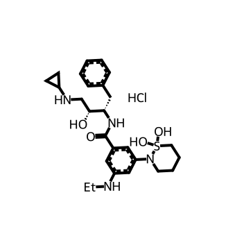 CCNc1cc(C(=O)N[C@@H](Cc2ccccc2)[C@H](O)CNC2CC2)cc(N2CCCCS2(O)O)c1.Cl